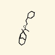 CC(OCCC1CCCCC1)C1(C)C=C2CCCC(C2)C1